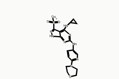 CS(=O)(=O)c1n[nH]c2nc(Nc3ccc(N4CCOCC4)nc3)nc(NC3CC3)c12